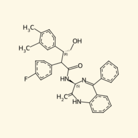 C=C1Nc2ccccc2C(c2ccccc2)=N[C@@H]1NC(=O)C(c1ccc(F)cc1)[C@@H](CO)c1ccc(C)c(C)c1